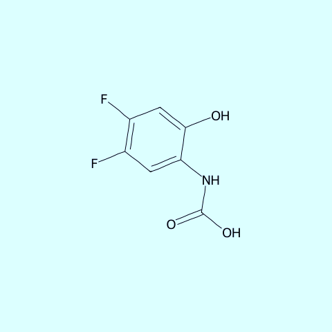 O=C(O)Nc1cc(F)c(F)cc1O